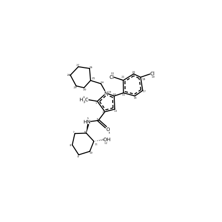 Cc1c(C(=O)N[C@@H]2CCCC[C@H]2O)cc(-c2ccc(Cl)cc2Cl)n1CC1CCCCC1